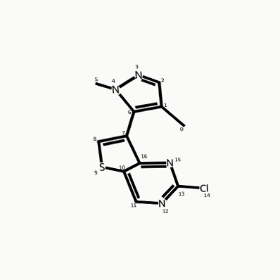 Cc1cnn(C)c1-c1csc2cnc(Cl)nc12